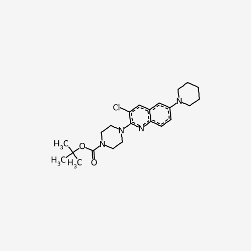 CC(C)(C)OC(=O)N1CCN(c2nc3ccc(N4CCCCC4)cc3cc2Cl)CC1